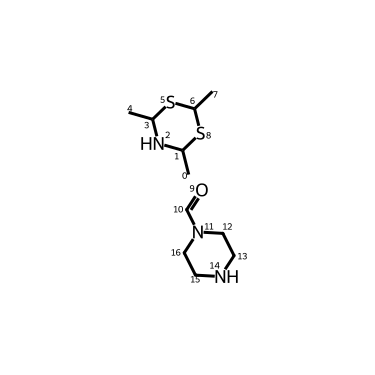 CC1NC(C)SC(C)S1.O=CN1CCNCC1